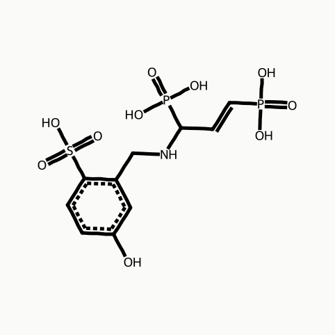 O=P(O)(O)C=CC(NCc1cc(O)ccc1S(=O)(=O)O)P(=O)(O)O